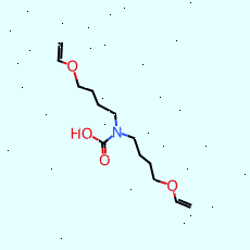 C=COCCCCN(CCCCOC=C)C(=O)O